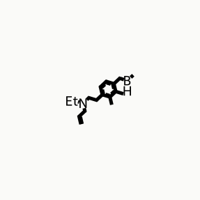 C=CCN(CC)CCc1ccc(CBC)c(C)c1C